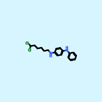 ClC(Cl)CCCCCNc1ccc(Nc2ccccc2)cc1